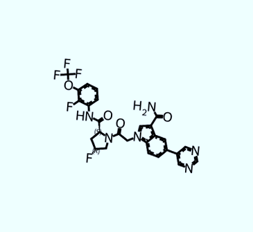 NC(=O)c1cn(CC(=O)N2C[C@H](F)C[C@H]2C(=O)Nc2cccc(OC(F)(F)F)c2F)c2ccc(-c3cncnc3)cc12